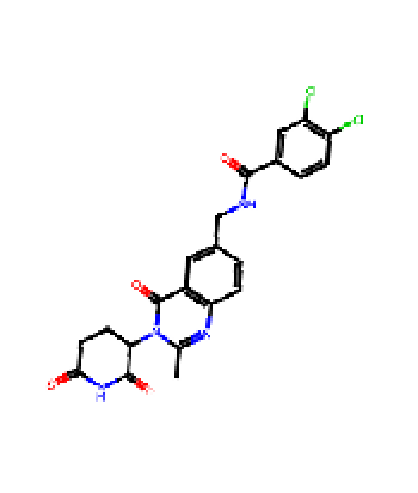 Cc1nc2ccc(CNC(=O)c3ccc(Cl)c(Cl)c3)cc2c(=O)n1C1CCC(=O)NC1=O